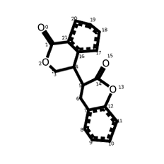 O=C1O[C]C(C2Cc3ccccc3OC2=O)c2ccccc21